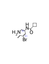 C=C/C(Br)=C\C(=C/N)NC(=O)C1CCC1